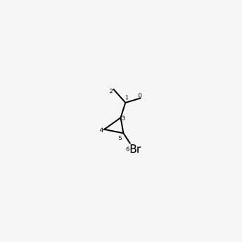 CC(C)C1CC1Br